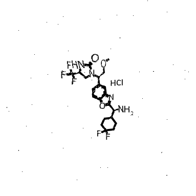 COC[C@@H](c1ccc2oc([C@@H](N)C3CCC(F)(F)CC3)nc2c1)N1C[C@@H](C(F)(F)F)NC1=O.Cl